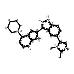 Cc1ncc(-c2ccc3[nH]nc(-c4cc5c(N6CCCCC6)ccnc5[nH]4)c3c2)n1C